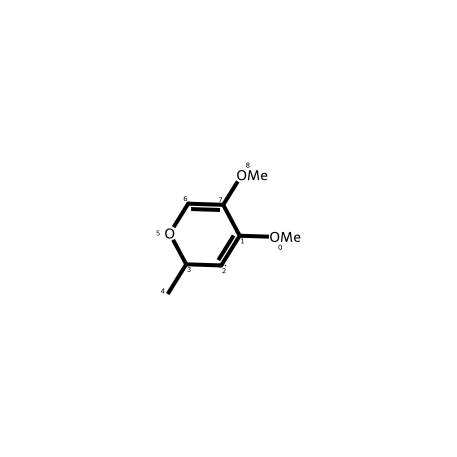 COC1=[C]C(C)OC=C1OC